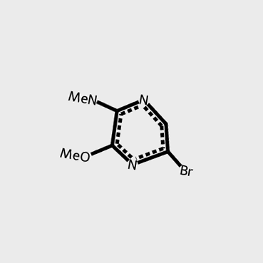 CNc1ncc(Br)nc1OC